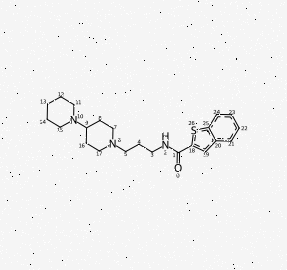 O=C(NCCCN1CCC(N2CCCCC2)CC1)c1cc2ccccc2s1